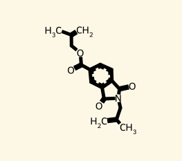 C=C(C)COC(=O)c1ccc2c(c1)C(=O)N(CC(=C)C)C2=O